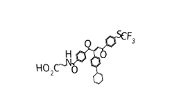 O=C(O)CCNC(=O)c1ccc(C(=O)C(=CC(=O)c2ccc(SC(F)(F)F)cc2)c2ccc(C3CCCCC3)cc2)cc1